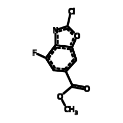 COC(=O)c1cc(F)c2nc(Cl)oc2c1